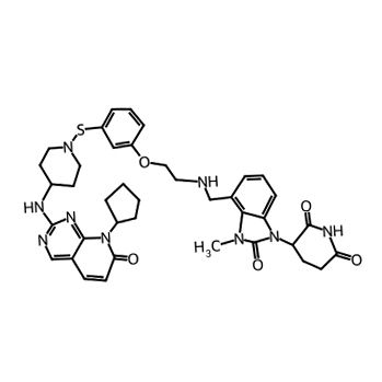 Cn1c(=O)n(C2CCC(=O)NC2=O)c2cccc(CNCCOc3cccc(SN4CCC(Nc5ncc6ccc(=O)n(C7CCCC7)c6n5)CC4)c3)c21